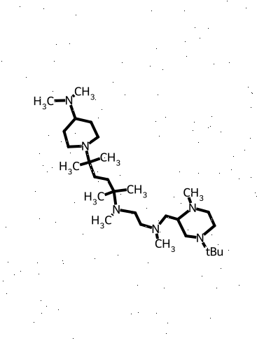 CN(CCN(C)C(C)(C)CCC(C)(C)N1CCC(N(C)C)CC1)CC1CN(C(C)(C)C)CCN1C